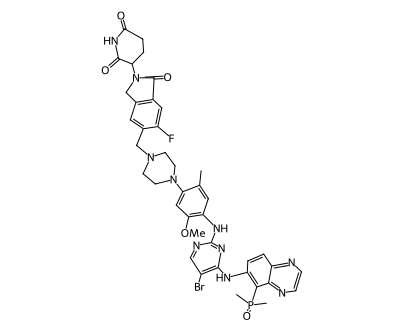 COc1cc(N2CCN(Cc3cc4c(cc3F)C(=O)N(C3CCC(=O)NC3=O)C4)CC2)c(C)cc1Nc1ncc(Br)c(Nc2ccc3nccnc3c2P(C)(C)=O)n1